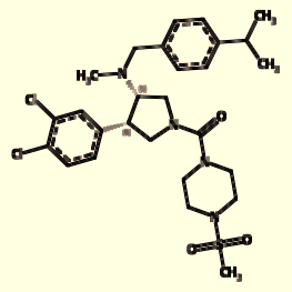 CC(C)c1ccc(CN(C)[C@@H]2CN(C(=O)N3CCN(S(C)(=O)=O)CC3)C[C@@H]2c2ccc(Cl)c(Cl)c2)cc1